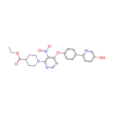 CCOC(=O)C1CCN(c2ncnc(Oc3ccc(-c4ccc(O)cn4)cc3)c2[N+](=O)[O-])CC1